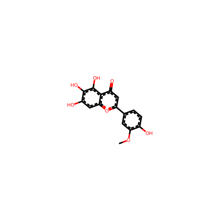 COc1cc(-c2cc(=O)c3c(O)c(O)c(O)cc3o2)ccc1O